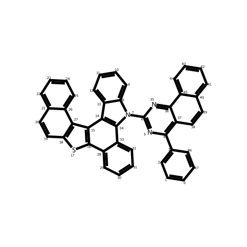 c1ccc(-c2nc(-n3c4ccccc4c4c5c(sc6ccc7ccccc7c65)c5ccccc5c43)nc3c2ccc2ccccc23)cc1